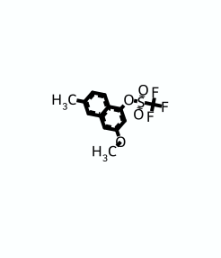 COc1cc(OS(=O)(=O)C(F)(F)F)c2ccc(C)cc2c1